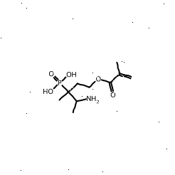 C=C(C)C(=O)OCCC(C)(C(C)N)P(=O)(O)O